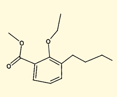 CCCCc1cccc(C(=O)OC)c1OCC